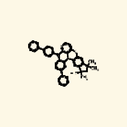 CC1(C)CC(C)(C)c2cc3c(cc21)Oc1ccnc2c1B3c1cc(-c3ccccc3)ccc1N2c1ccc(-c2ccccc2)cc1